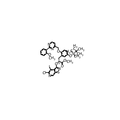 COC(=O)[C@H](Cc1cc(O[Si](C)(C)C(C)(C)C)ccc1OCc1ccnc(-c2ccccc2OC)n1)Oc1nsc2cnc(Cl)c(I)c12